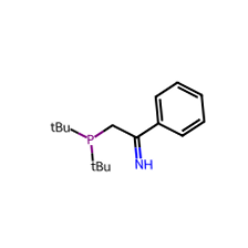 CC(C)(C)P(CC(=N)c1ccccc1)C(C)(C)C